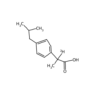 [2H]C(C)(C(=O)O)c1ccc(CC(C)C)cc1